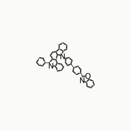 c1ccc(-c2nc3ccccc3c3c2ccc2c4ccccc4n(-c4ccc(-c5ccc(-c6nc7ccccc7o6)cc5)cc4)c23)cc1